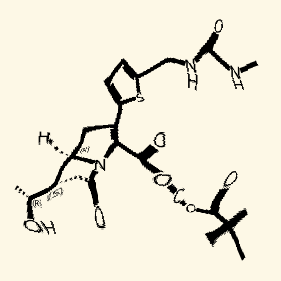 CNC(=O)NCc1ccc(C2=C(C(=O)OCOC(=O)C(C)(C)C)N3C(=O)[C@H]([C@@H](C)O)[C@H]3C2)s1